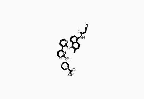 Cc1ccc2c(NC(=O)CC#N)cccc2c1Oc1ncccc1-c1ccnc(N[C@H]2CCCN(C(=O)O)C2)n1